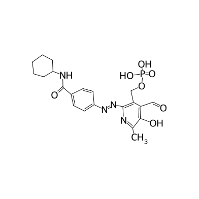 Cc1nc(N=Nc2ccc(C(=O)NC3CCCCC3)cc2)c(COP(=O)(O)O)c(C=O)c1O